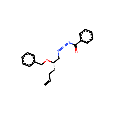 C=CCC[C@@H](CN=[N+]=NC(=O)c1ccccc1)OCc1ccccc1